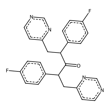 O=C(C(Cc1ccncn1)c1ccc(F)cc1)C(Cc1ccncn1)c1ccc(F)cc1